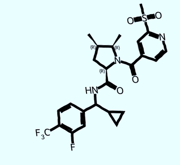 C[C@@H]1C[C@H](C(=O)NC(c2ccc(C(F)(F)F)c(F)c2)C2CC2)N(C(=O)c2ccnc(S(C)(=O)=O)c2)[C@@H]1C